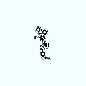 COc1ccc(C2=CSC(N/N=C/c3cc4c5ccccc5n(Cc5ccccc5)c4c(C(C)C)n3)N2)cc1